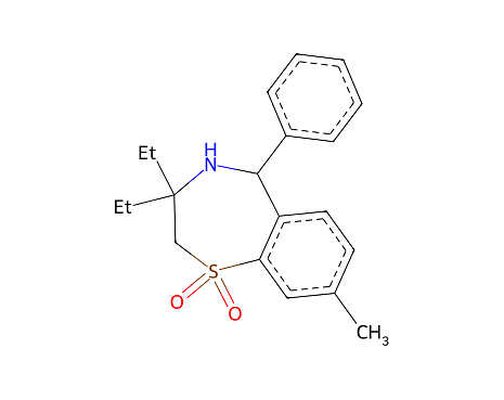 CCC1(CC)CS(=O)(=O)c2cc(C)ccc2C(c2ccccc2)N1